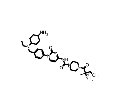 CCN(Cc1ccc(-n2ccc(NC(=O)N3CCN(C(=O)[C@@](C)(N)CO)CC3)nc2=O)cc1)C1CCC(N)CC1